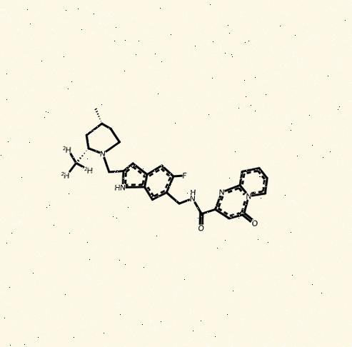 [2H]C([2H])([2H])[C@@H]1C[C@H](C)CCN1Cc1cc2cc(F)c(CNC(=O)c3cc(=O)n4ccccc4n3)cc2[nH]1